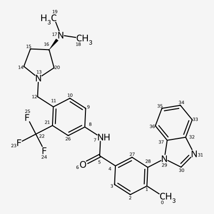 Cc1ccc(C(=O)Nc2ccc(CN3CC[C@@H](N(C)C)C3)c(C(F)(F)F)c2)cc1-n1cnc2ccccc21